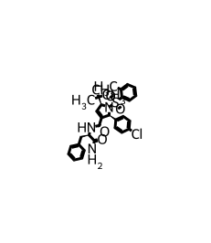 Cc1ccccc1S(=O)(=O)N1[C@@H](c2ccc(Cl)cc2)C(C(=O)N[C@H](Cc2ccccc2)C(N)=O)=C[C@H]1C(C)(C)C